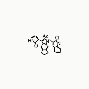 CC(=O)c1c(-c2ccc[nH]c2=O)c2cc3c(cc2n1Cc1cc2ccccc2nc1Cl)CCC3